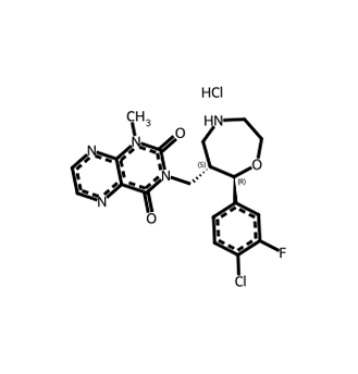 Cl.Cn1c(=O)n(C[C@@H]2CNCCO[C@H]2c2ccc(Cl)c(F)c2)c(=O)c2nccnc21